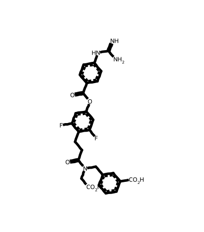 N=C(N)Nc1ccc(C(=O)Oc2cc(F)c(CCC(=O)N(CC(=O)O)Cc3cccc(C(=O)O)c3)c(F)c2)cc1